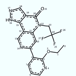 CCOc1ncccc1-c1cc2c(cn1)c1[nH]ncc1c(=O)n2CC(F)(F)F